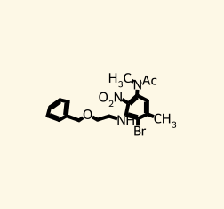 CC(=O)N(C)c1cc(C)c(Br)c(NCCOCc2ccccc2)c1[N+](=O)[O-]